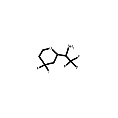 NC(C1CC(F)(F)CCO1)C(F)(F)F